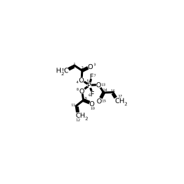 C=CC(=O)OP(F)(F)(OC(=O)C=C)OC(=O)C=C